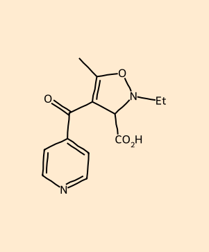 CCN1OC(C)=C(C(=O)c2ccncc2)C1C(=O)O